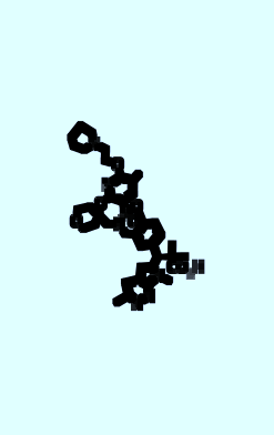 Cc1cc2cc([C@@H](c3ccc(C)c(CN4CC5(CCOCC5)Oc5nc(OCCN6CCCCC6)c(C)cc5S4(=O)=O)c3)C(C)(C)C(=O)O)n(C)c2nn1